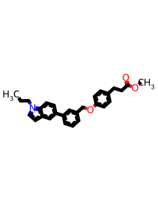 CCCn1ccc2cc(-c3cccc(COc4ccc(CCC(=O)OC)cc4)c3)ccc21